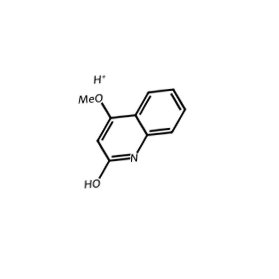 COc1cc(O)nc2ccccc12.[H+]